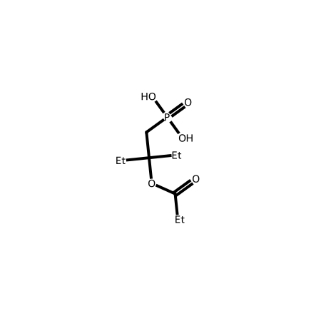 CCC(=O)OC(CC)(CC)CP(=O)(O)O